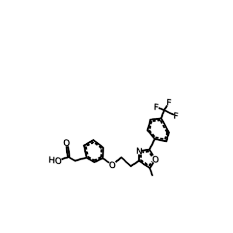 Cc1oc(-c2ccc(C(F)(F)F)cc2)nc1CCOc1cccc(CC(=O)O)c1